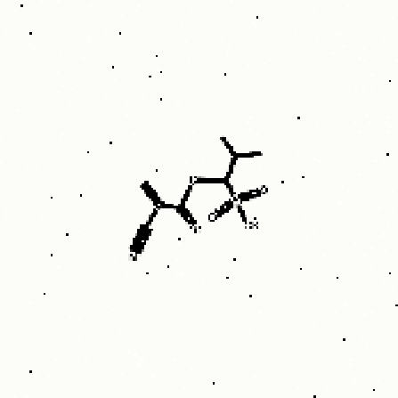 C=C(C#N)C(=O)OC(C(C)C)S(=O)(=O)O